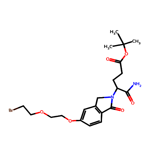 CC(C)(C)OC(=O)CCC(C(N)=O)N1Cc2cc(OCCOCCBr)ccc2C1=O